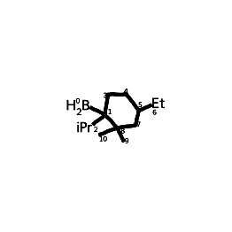 BC1(C(C)C)CCC(CC)CC1(C)C